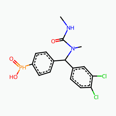 CNC(=O)N(C)C(c1ccc([PH](=O)O)cc1)c1ccc(Cl)c(Cl)c1